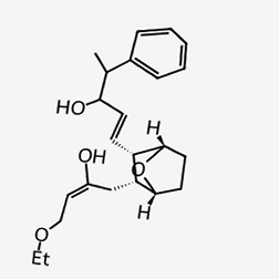 CCOC/C=C(/O)C[C@@H]1[C@H](/C=C/C(O)C(C)c2ccccc2)[C@@H]2CC[C@H]1O2